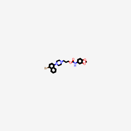 O=C(Nc1ccc2c(c1)OCO2)OCCCN1CCN(c2ccc(Br)c3ccccc23)CC1